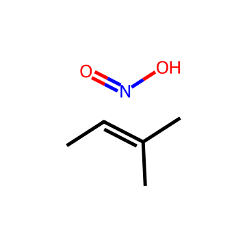 CC=C(C)C.O=NO